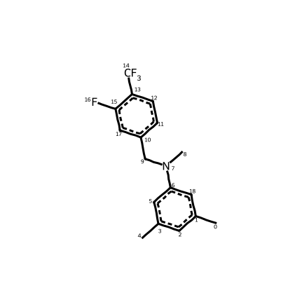 Cc1cc(C)cc(N(C)Cc2ccc(C(F)(F)F)c(F)c2)c1